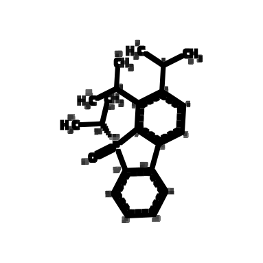 CC(C)c1ccc2c(c1C(C)C)[P@@](=O)(C(C)C)c1ccccc1-2